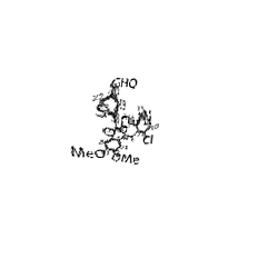 COc1ccc([C@H](Cc2c(Cl)cncc2Cl)OC(=O)c2cc(C=O)cs2)cc1OC